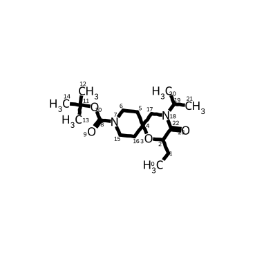 CCC1OC2(CCN(C(=O)OC(C)(C)C)CC2)CN(C(C)C)C1=O